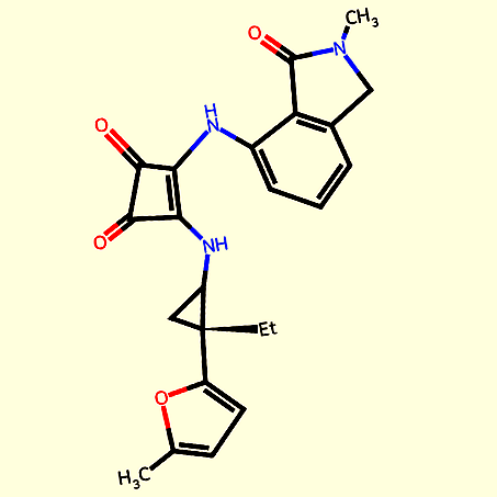 CC[C@@]1(c2ccc(C)o2)CC1Nc1c(Nc2cccc3c2C(=O)N(C)C3)c(=O)c1=O